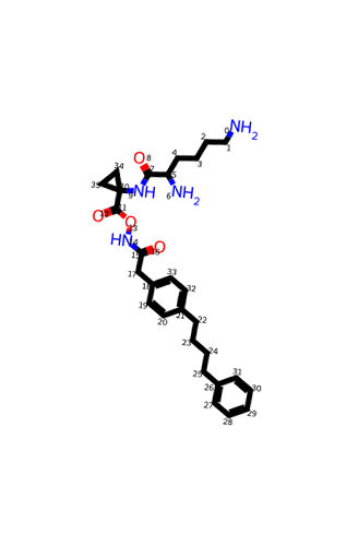 NCCCCC(N)C(=O)NC1(C(=O)ONC(=O)Cc2ccc(CCCCc3ccccc3)cc2)CC1